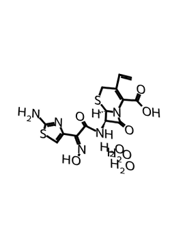 C=CC1=C(C(=O)O)N2C(=O)[C@@H](NC(=O)C(=NO)c3csc(N)n3)[C@H]2SC1.O.O.O